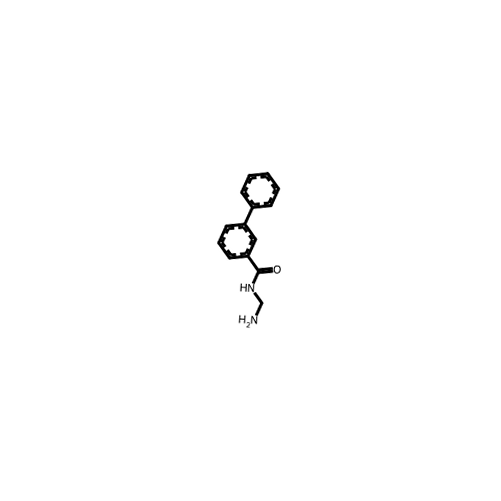 NCNC(=O)c1cccc(-c2ccccc2)c1